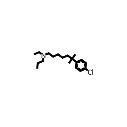 CCCN(CC)CCCCCC(C)(C)c1ccc(Cl)cc1